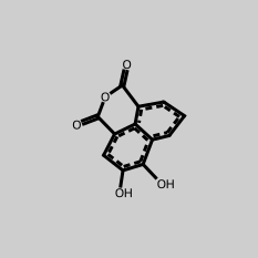 O=C1OC(=O)c2cc(O)c(O)c3cccc1c23